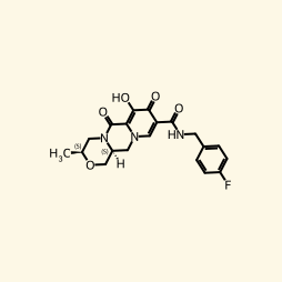 C[C@H]1CN2C(=O)c3c(O)c(=O)c(C(=O)NCc4ccc(F)cc4)cn3C[C@H]2CO1